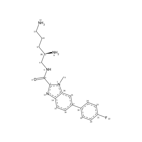 Cn1c(C(=O)NC[C@H](N)CCCN)nc2ccc(-c3ccc(F)cc3)cc21